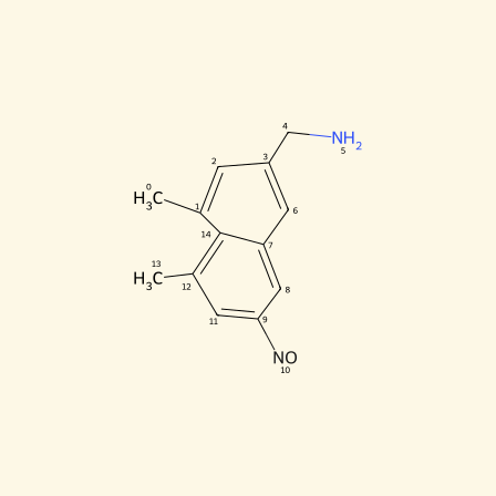 Cc1cc(CN)cc2cc(N=O)cc(C)c12